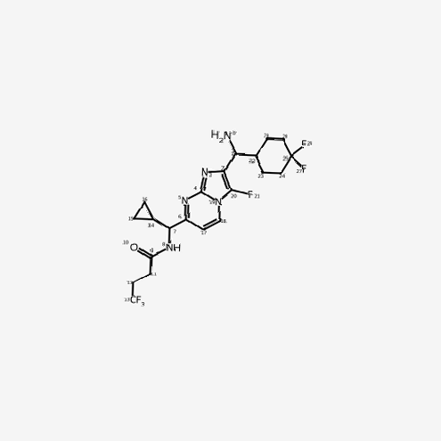 NC(c1nc2nc(C(NC(=O)CCC(F)(F)F)C3CC3)ccn2c1F)C1CCC(F)(F)CC1